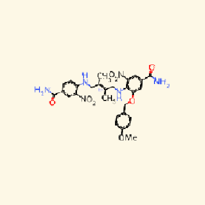 COc1ccc(COc2cc(C(N)=O)cc([N+](=O)[O-])c2NC/C(C)=C(\C)CNc2ccc(C(N)=O)cc2[N+](=O)[O-])cc1